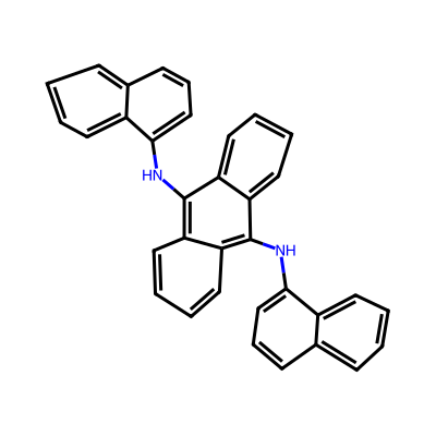 c1ccc2c(Nc3c4ccccc4c(Nc4cccc5ccccc45)c4ccccc34)cccc2c1